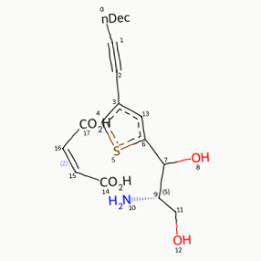 CCCCCCCCCCC#Cc1csc(C(O)[C@@H](N)CO)c1.O=C(O)/C=C\C(=O)O